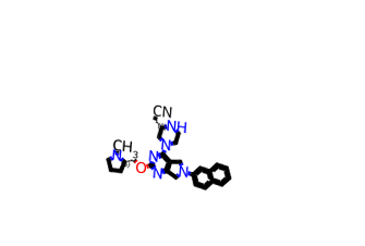 CN1CCC[C@H]1COc1nc2c(c(N3CCN[C@@H](CC#N)C3)n1)CN(c1ccc3ccccc3c1)C2